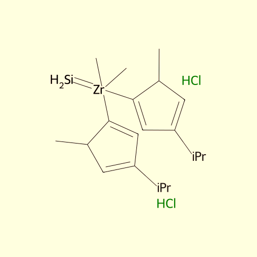 CC(C)C1=CC(C)[C]([Zr]([CH3])([CH3])(=[SiH2])[C]2=CC(C(C)C)=CC2C)=C1.Cl.Cl